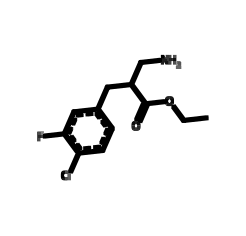 CCOC(=O)C(CN)Cc1ccc(Cl)c(F)c1